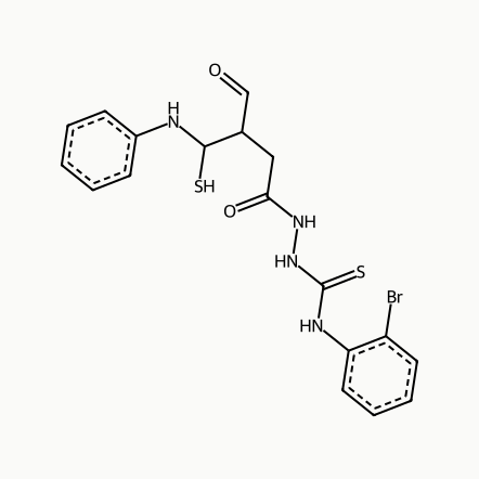 O=CC(CC(=O)NNC(=S)Nc1ccccc1Br)C(S)Nc1ccccc1